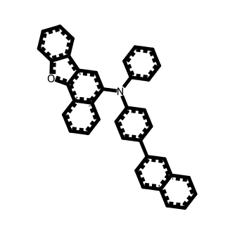 c1ccc(N(c2ccc(-c3ccc4ccccc4c3)cc2)c2cc3c4ccccc4oc3c3ccccc23)cc1